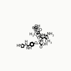 Cc1sc(N)nc1/C(=N/O[C@@H](COc1ccc(C(=N)N[C@@H]2CCNC2)cc1)C(=O)O)C(=O)N[C@@H]1C(=O)N(OS(=O)(=O)O)C1(C)C